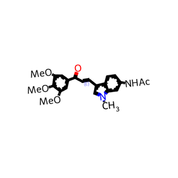 COc1cc(C(=O)/C=C/c2cn(C)c3cc(NC(C)=O)ccc23)cc(OC)c1OC